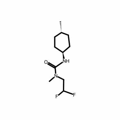 CN(CC(F)F)C(=O)N[C@H]1CC[C@H](C)CC1